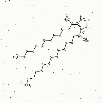 CCCCCCCCCCCCCCC(C)[n+]1cc[nH]c1C(C)CCCCCCCCCCCC